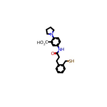 O=C(CCc1ccccc1CS)Nc1ccc(N2CCCC2)c(C(=O)O)c1